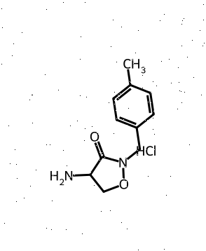 Cc1ccc(CN2OCC(N)C2=O)cc1.Cl